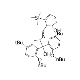 CCCCOc1ccc(C(C)(C)C)cc1C(O)(c1cc(C(C)(C)C)ccc1OCCCC)C(C)N=Cc1c(O)cccc1[Si](C)(C)C